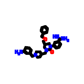 N=C(N)c1cccc(N2CC(COCc3ccccc3)CN(CC3CCN(Cc4cccc(N)c4)CC3)C2=O)c1